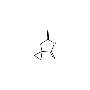 O=C1CC2(CC2)C(=O)O1